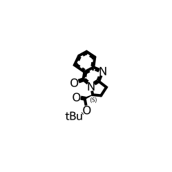 CC(C)(C)OC(=O)[C@@H]1CCc2nc3ccccc3c(=O)n21